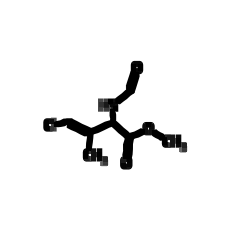 COC(=O)C(NC=O)/C(C)=C/Cl